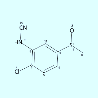 C[S+]([O-])c1ccc(Cl)c(NC#N)c1